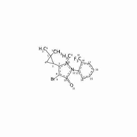 Cn1c(C2CC2(C)C)c(Br)c(=O)n1-c1ccccc1C(F)(F)F